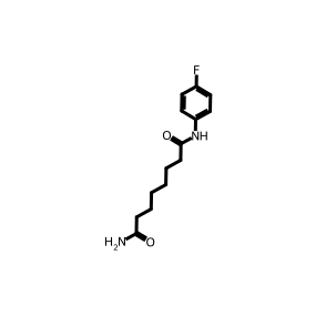 NC(=O)CCCCCCC(=O)Nc1ccc(F)cc1